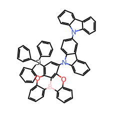 c1ccc([Si](c2ccccc2)(c2ccccc2)c2cc(-n3c4ccccc4c4cc(-n5c6ccccc6c6ccccc65)ccc43)c3c4c2Oc2ccccc2B4c2ccccc2O3)cc1